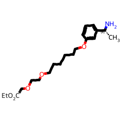 CCOC(=O)COCCOCCCCCCOc1cccc([C@@H](C)N)c1